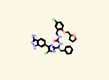 Nc1n[nH]c2cc(-c3nc([C@H](Cc4ccccc4)NC(=O)NCc4cc(Cl)ccc4OCC4CCCO4)[nH]c3Cl)ccc12